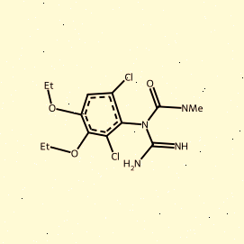 CCOc1cc(Cl)c(N(C(=N)N)C(=O)NC)c(Cl)c1OCC